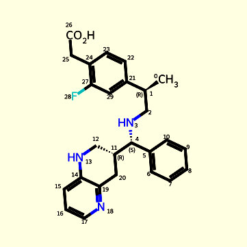 C[C@@H](CN[C@H](c1ccccc1)[C@H]1CNc2cccnc2C1)c1ccc(CC(=O)O)c(F)c1